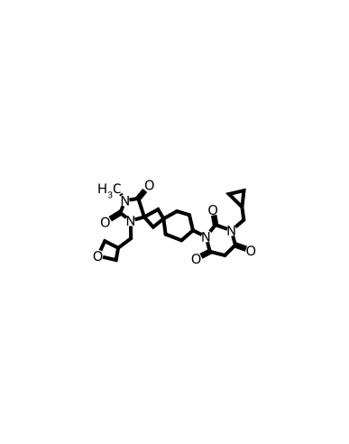 CN1C(=O)N(CC2COC2)C2(CC3(CCC(N4C(=O)CC(=O)N(CC5CC5)C4=O)CC3)C2)C1=O